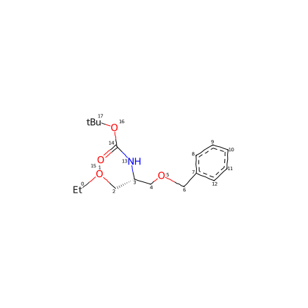 CCOC[C@@H](COCc1ccccc1)NC(=O)OC(C)(C)C